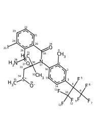 Cc1cc(C(F)(C(F)(F)F)C(F)(F)F)ccc1N(C(=O)c1cccc(I)c1C(N)=O)C(C)(C)C[S+](C)[O-]